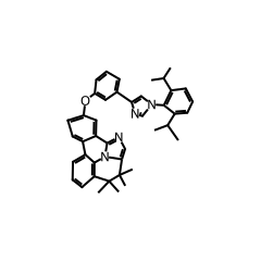 CC(C)c1cccc(C(C)C)c1-n1cnc(-c2cccc(Oc3ccc4c(c3)c3ncc5n3c3c(cccc43)C(C)(C)C5(C)C)c2)c1